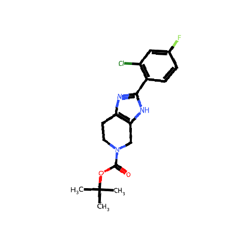 CC(C)(C)OC(=O)N1CCc2nc(-c3ccc(F)cc3Cl)[nH]c2C1